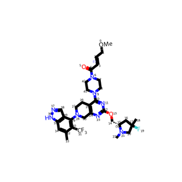 COC/C=C/C(=O)N1CCN(c2nc(OC[C@@H]3CC(C)(F)CN3C)nc3c2CCN(c2c(C(F)(F)F)c(C)cc4[nH]ncc24)C3)CC1